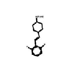 CCCCCC1CCC(C=Cc2c(F)cccc2F)CC1